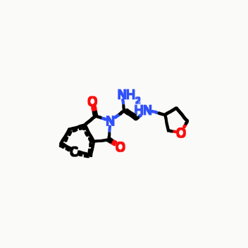 N/C(=C\NC1CCOC1)N1C(=O)c2ccccc2C1=O